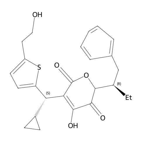 CC[C@H](Cc1ccccc1)C1OC(=O)C([C@@H](c2ccc(CCO)s2)C2CC2)=C(O)C1=O